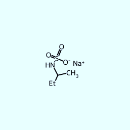 CCC(C)NS(=O)(=O)[O-].[Na+]